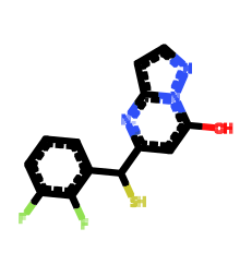 Oc1cc(C(S)c2cccc(F)c2F)nc2ccnn12